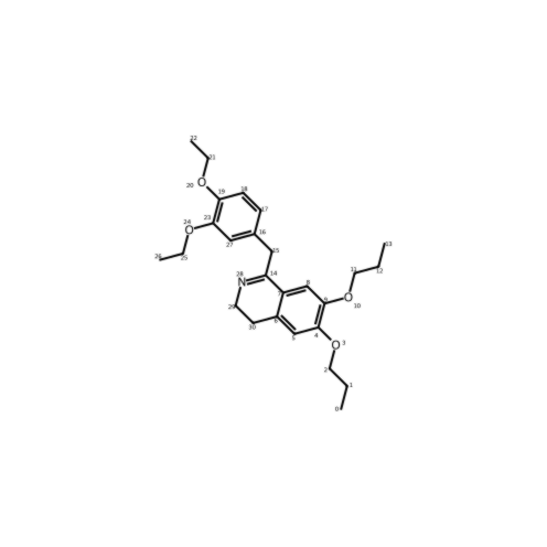 CCCOc1cc2c(cc1OCCC)C(Cc1ccc(OCC)c(OCC)c1)=NCC2